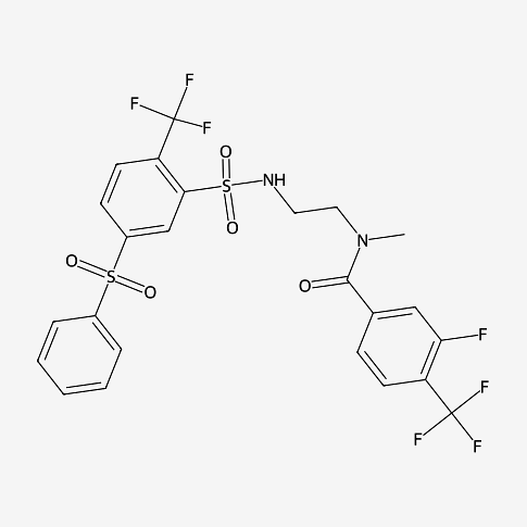 CN(CCNS(=O)(=O)c1cc(S(=O)(=O)c2ccccc2)ccc1C(F)(F)F)C(=O)c1ccc(C(F)(F)F)c(F)c1